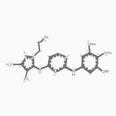 COc1cc(Nc2nccc(Nc3c(C)c(C)nn3CCO)n2)cc(OC)c1OC